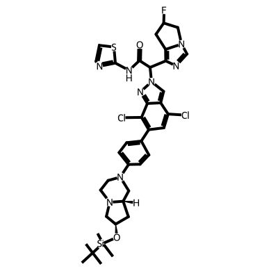 CC(C)(C)[Si](C)(C)O[C@@H]1C[C@H]2CN(c3ccc(-c4cc(Cl)c5cn(C(C(=O)Nc6nccs6)c6ncn7c6CC(F)C7)nc5c4Cl)cc3)CCN2C1